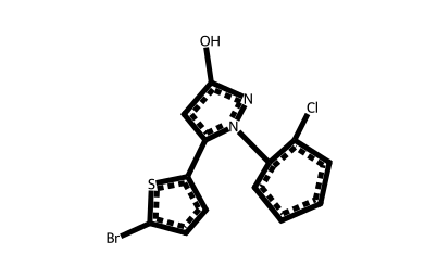 Oc1cc(-c2ccc(Br)s2)n(-c2ccccc2Cl)n1